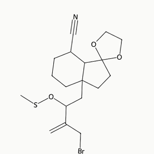 C=C(CBr)C(CC12CCCC(C#N)C1C1(CC2)OCCO1)OSC